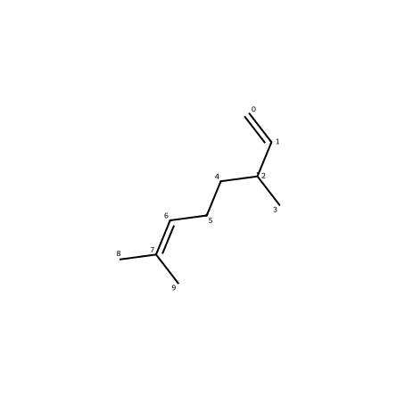 C=C[C](C)CCC=C(C)C